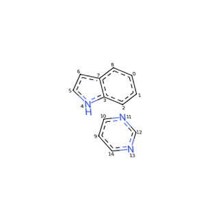 c1ccc2[nH]ccc2c1.c1cncnc1